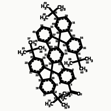 CC(=O)c1ccc2c(c1)C1(c3cc(C(C)(C)C)ccc3-c3ccc(C(C)(C)C)cc31)c1cc3c(cc1-2)C1(c2ccccc2-3)c2cc(C(C)(C)C)ccc2-c2ccc(C(C)(C)C)cc21